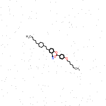 CCCCCCOc1ccc(C(=O)Oc2ccc(CCC3CCC(CCCCC)CC3)cc2C#N)cc1